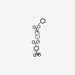 O=C(OC1CC2CN(C(=O)OCc3ccccc3)CC2C1)c1ccc([N+](=O)[O-])cc1